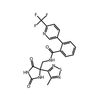 Cc1nsnc1C1(CNC(=O)c2ccccc2-c2ccc(C(F)(F)F)nc2)NC(=O)NC1=O